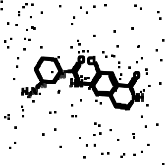 N[C@H]1CCC[C@H](C(=O)Nc2cc3cc[nH]c(=O)c3cc2Cl)C1